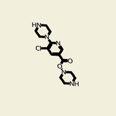 O=C(ON1CCNCC1)c1cnc(N2CCNCC2)c(Cl)c1